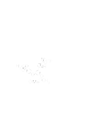 COC[C@H](C)Oc1cc(Oc2ccc(S(C)(=O)=O)cc2)cc(-c2ccc(C3=NCC(CF)O3)[nH]2)c1